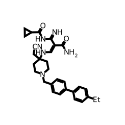 CCc1ccc(-c2ccc(CN3CCC(CC#N)(N/C=C(\C(=N)NC(=O)C4CC4)C(N)=O)CC3)cc2)cc1